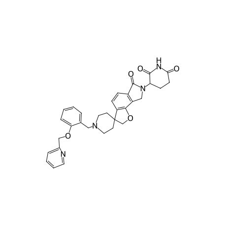 O=C1CCC(N2Cc3c(ccc4c3OCC43CCN(Cc4ccccc4OCc4ccccn4)CC3)C2=O)C(=O)N1